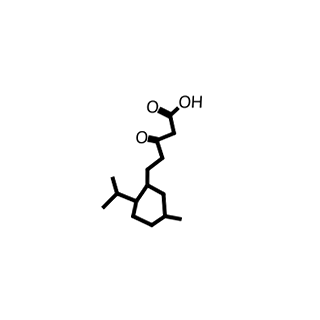 CC1CCC(C(C)C)C(CCC(=O)CC(=O)O)C1